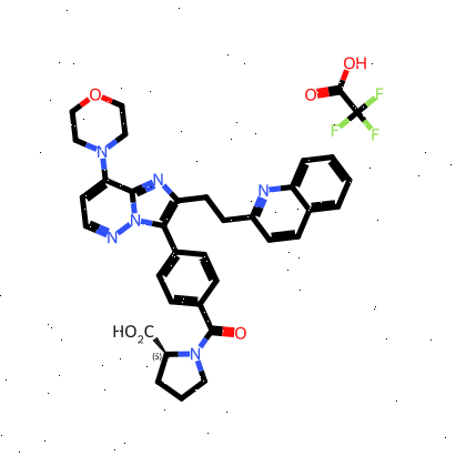 O=C(O)C(F)(F)F.O=C(O)[C@@H]1CCCN1C(=O)c1ccc(-c2c(CCc3ccc4ccccc4n3)nc3c(N4CCOCC4)ccnn23)cc1